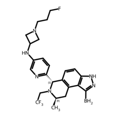 Bc1n[nH]c2ccc3c(c12)C[C@@H](C)N(CC(F)(F)F)[C@@H]3c1ccc(NC2CN(CCCF)C2)cn1